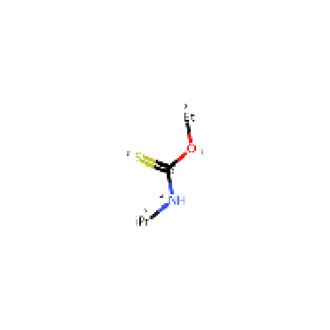 CCOC(=S)NC(C)C